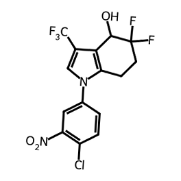 O=[N+]([O-])c1cc(-n2cc(C(F)(F)F)c3c2CCC(F)(F)C3O)ccc1Cl